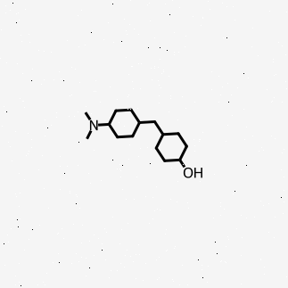 CN(C)C1CCC(CC2CCC(O)CC2)CC1